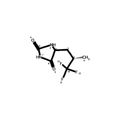 C[C@@H](CC1NC(=O)NC1=O)C(F)(F)F